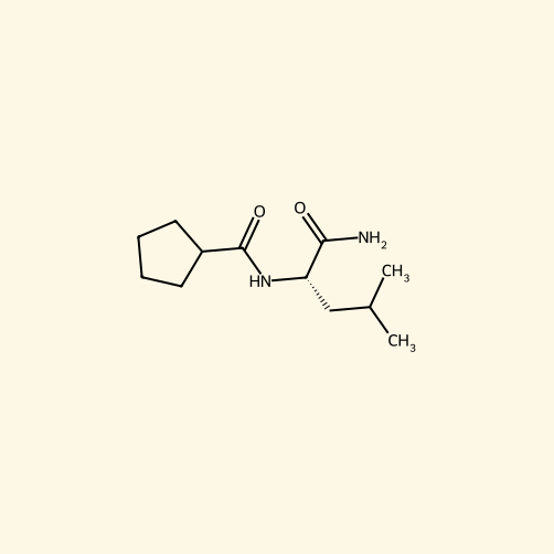 CC(C)C[C@H](NC(=O)C1CCCC1)C(N)=O